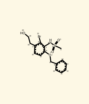 CS(=O)(=O)Nc1c(OCc2ccccc2)ccc(CCO)c1Br